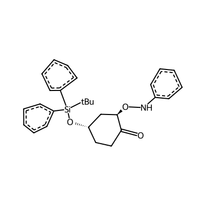 CC(C)(C)[Si](O[C@H]1CCC(=O)[C@H](ONc2ccccc2)C1)(c1ccccc1)c1ccccc1